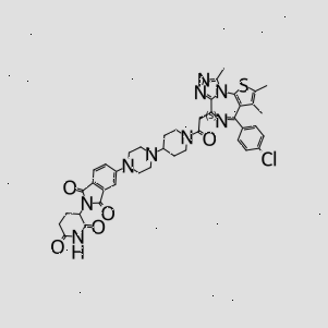 Cc1sc2c(c1C)C(c1ccc(Cl)cc1)=N[C@@H](CC(=O)N1CCC(N3CCN(c4ccc5c(c4)C(=O)N(C4CCC(=O)NC4=O)C5=O)CC3)CC1)c1nnc(C)n1-2